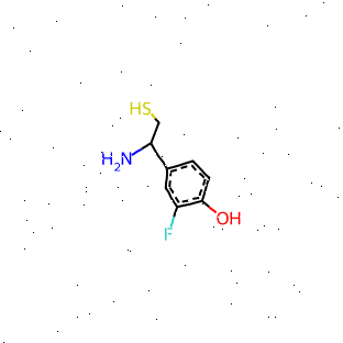 NC(CS)c1ccc(O)c(F)c1